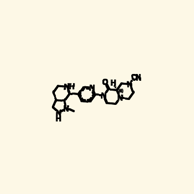 CN1NCC2CCNC(c3ccc(N4CCN5CCN(C#N)C[C@@H]5C4=O)nc3)C21